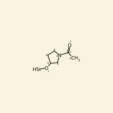 CC(=O)N1CCC(OS)C1